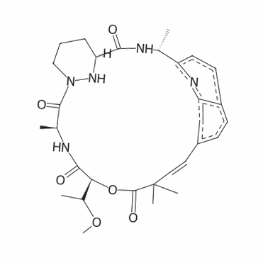 COC(C)[C@@H]1OC(=O)C(C)(C)/C=C/c2ccc3ccc(nc3c2)[C@@H](C)NC(=O)[C@@H]2CCCN(N2)C(=O)[C@H](C)NC1=O